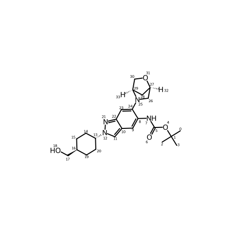 CC(C)(C)OC(=O)Nc1cc2cn([C@H]3CC[C@H](CO)CC3)nc2cc1N1C[C@H]2C[C@@H]1CO2